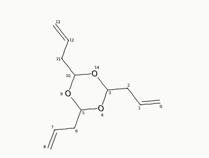 C=CCC1OC(CC=C)OC(CC=C)O1